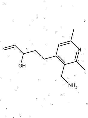 C=CC(O)CCc1cc(C)nc(C)c1CN